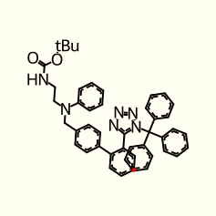 CC(C)(C)OC(=O)NCCN(Cc1ccc(-c2ccccc2-c2nnnn2C(c2ccccc2)(c2ccccc2)c2ccccc2)cc1)c1ccccc1